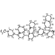 Cc1ccc(-c2cccc3c(-c4c5ccccc5c(-c5ccc(-c6cccnc6-c6ccc7ccccc7c6)cc5)c5ccccc45)cccc23)cc1